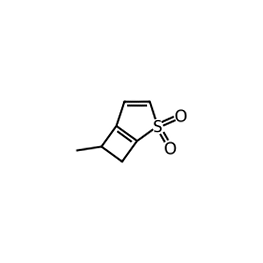 CC1CC2=C1C=CS2(=O)=O